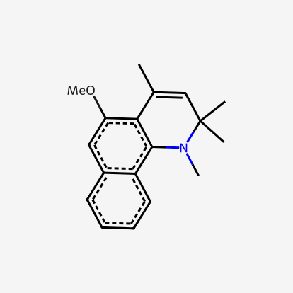 COc1cc2ccccc2c2c1C(C)=CC(C)(C)N2C